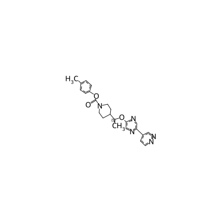 Cc1ccc(OC(=O)N2CCC([C@H](C)Oc3cnc(-c4ccnnc4)cn3)CC2)cc1